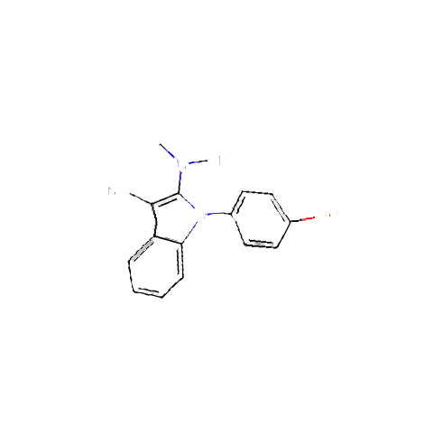 CCCCN(C)c1c(C#N)c2ccccc2n1-c1ccc(O)cc1